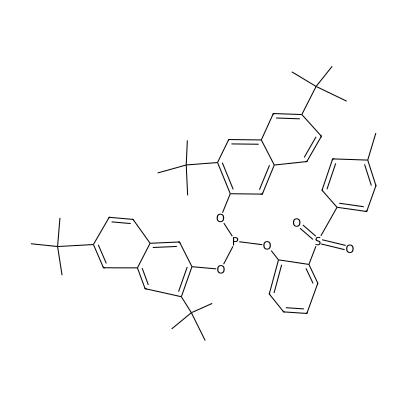 Cc1ccc(S(=O)(=O)c2ccccc2OP(Oc2cc3ccc(C(C)(C)C)cc3cc2C(C)(C)C)Oc2cc3ccc(C(C)(C)C)cc3cc2C(C)(C)C)cc1